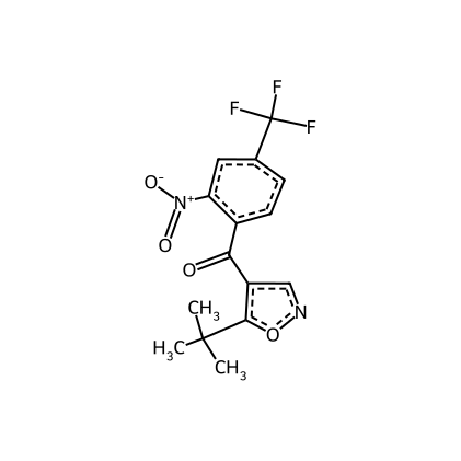 CC(C)(C)c1oncc1C(=O)c1ccc(C(F)(F)F)cc1[N+](=O)[O-]